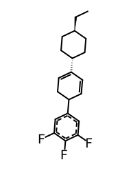 CC[C@H]1CC[C@H](C2=CCC(c3cc(F)c(F)c(F)c3)C=C2)CC1